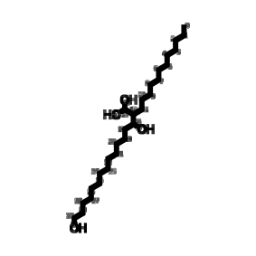 CCCCCCCCCCCCC(C(O)O)C(O)CCCCCCCCCCCCCO